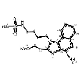 CCCCS(=O)(=O)NCCCCn1c(CCOC)nc2c(N)nc3ccccc3c21